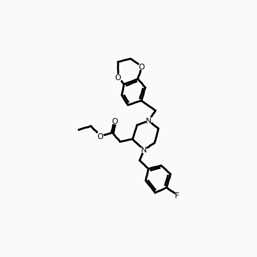 CCOC(=O)CC1CN(Cc2ccc3c(c2)OCCO3)CCN1Cc1ccc(F)cc1